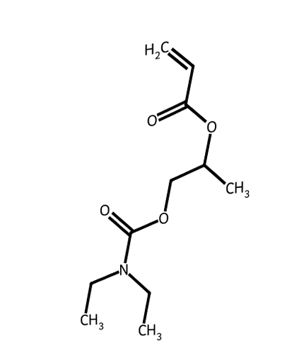 C=CC(=O)OC(C)COC(=O)N(CC)CC